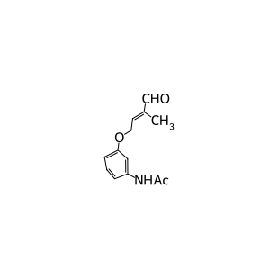 CC(=O)Nc1cccc(OCC=C(C)C=O)c1